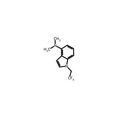 CN(C)c1cccc2c1ccn2CC(F)(F)F